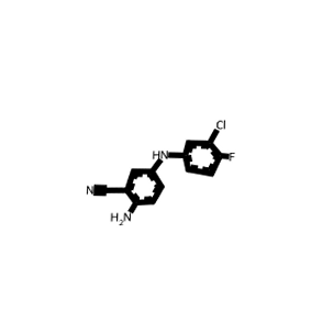 N#Cc1cc(Nc2ccc(F)c(Cl)c2)ccc1N